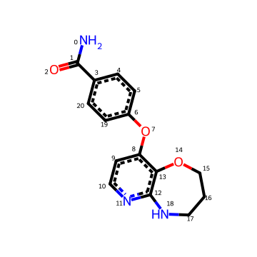 NC(=O)c1ccc(Oc2ccnc3c2OCCCN3)cc1